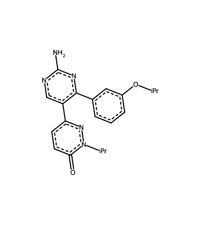 CC(C)Oc1cccc(-c2nc(N)ncc2-c2ccc(=O)n(C(C)C)n2)c1